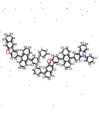 c1ccc(-c2cc(-c3cccc(-c4cccc5cc6c(cc45)oc4ccc(-c5c7ccccc7c(-c7ccc8c(c7)c7ccccc7n8-c7ccccc7)c7ccccc57)cc46)c3)cc(-c3c4ccccc4c(-c4ccc5oc6cc7ccccc7cc6c5c4)c4ccccc34)c2)cc1